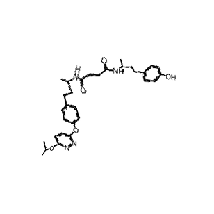 CC(CCc1ccc(O)cc1)NC(=O)CCC(=O)NC(C)CCc1ccc(Oc2ccc(OC(C)C)nn2)cc1